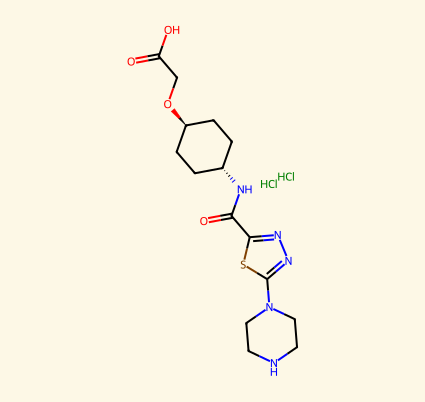 Cl.Cl.O=C(O)CO[C@H]1CC[C@H](NC(=O)c2nnc(N3CCNCC3)s2)CC1